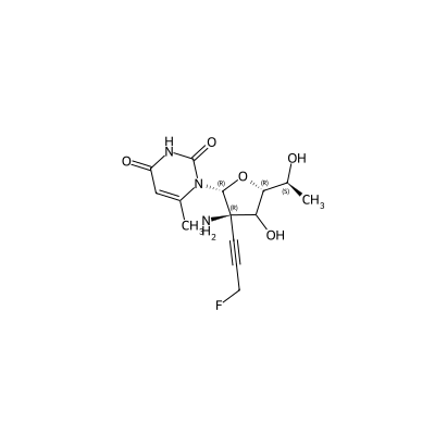 Cc1cc(=O)[nH]c(=O)n1[C@@H]1O[C@H]([C@H](C)O)C(O)[C@]1(N)C#CCF